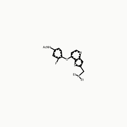 CCN(CC)Cc1cc2nccc(Oc3ccc(NC(C)=O)cc3F)c2s1